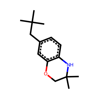 CC(C)(C)Cc1ccc2c(c1)OCC(C)(C)N2